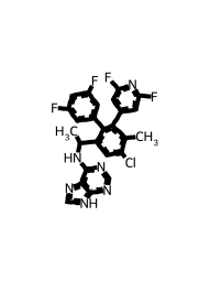 Cc1c(Cl)cc(C(C)Nc2ncnc3[nH]cnc23)c(-c2cc(F)cc(F)c2)c1-c1cc(F)nc(F)c1